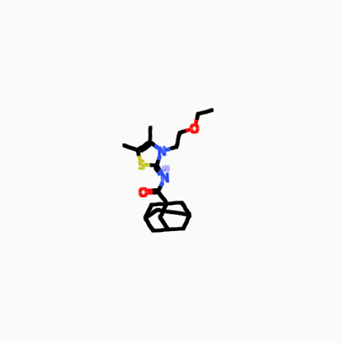 CCOCCn1c(C)c(C)s/c1=N\C(=O)C12CC3CC(CC(C3)C1)C2